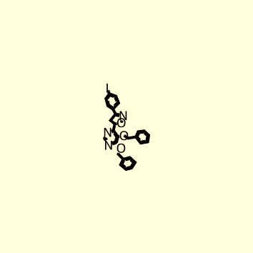 Ic1ccc(C2=NOC(c3ncnc(OCc4ccccc4)c3OCc3ccccc3)C2)cc1